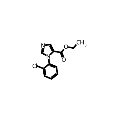 CCOC(=O)c1cncn1-c1ccccc1Cl